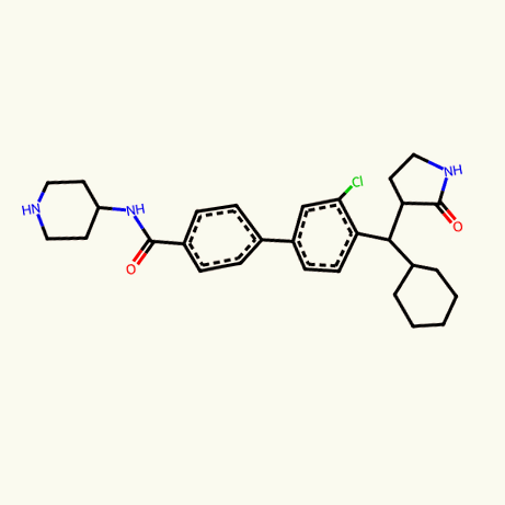 O=C(NC1CCNCC1)c1ccc(-c2ccc(C(C3CCCCC3)C3CCNC3=O)c(Cl)c2)cc1